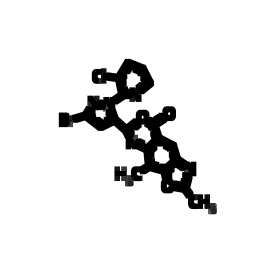 Cc1nc2cc3c(=O)oc(-c4cc(Br)nn4-c4ncccc4Cl)nc3c(C)c2o1